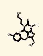 CCCCSc1nc2c(c(=O)n(CCCO)c(=O)n2C)n1Cc1ccc(Cl)cc1